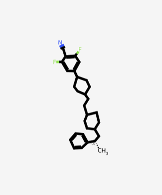 C[C@@H](CC1CCC(CCC2CCC(c3cc(F)c(C#N)c(F)c3)CC2)CC1)c1ccccc1